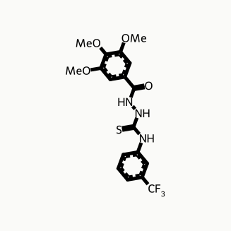 COc1cc(C(=O)NNC(=S)Nc2cccc(C(F)(F)F)c2)cc(OC)c1OC